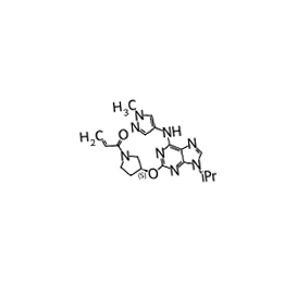 C=CC(=O)N1CC[C@H](Oc2nc(Nc3cnn(C)c3)c3ncn(C(C)C)c3n2)C1